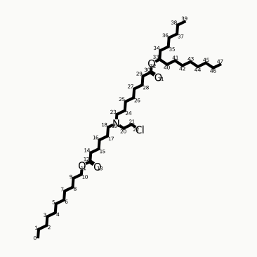 CCCCCCCCCCCOC(=O)CCCCCN(CCCl)CCCCCCCC(=O)OC(CCCCCC)CCCCCCCC